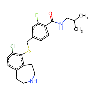 CC(C)CNC(=O)c1ccc(CSc2c(Cl)ccc3c2CCNCC3)cc1F